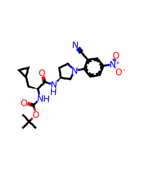 CC(C)(C)OC(=O)N[C@@H](CC1CC1)C(=O)N[C@H]1CCN(c2ccc([N+](=O)[O-])cc2C#N)C1